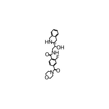 O=C(NCC(O)[C@@H]1Cc2ccccc2CN1)c1ccc(C(=O)N2CCOCC2)cc1F